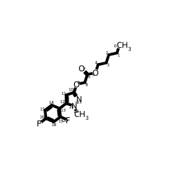 CCCCCOC(=O)COc1cc(-c2ccc(F)cc2F)n(C)n1